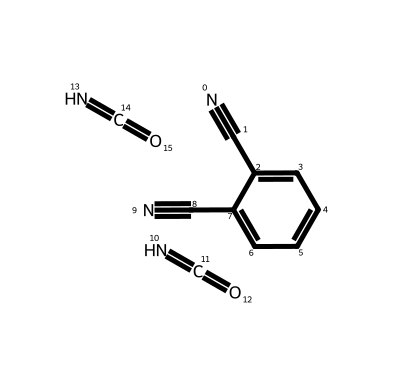 N#Cc1ccccc1C#N.N=C=O.N=C=O